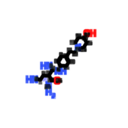 N=C/C=C(/C(=N)Nc1ccc(CCN2CCC(O)CC2)cc1)C(N)=O